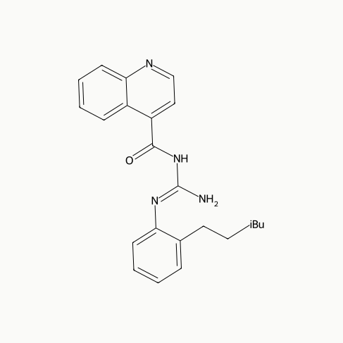 CCC(C)CCc1ccccc1N=C(N)NC(=O)c1ccnc2ccccc12